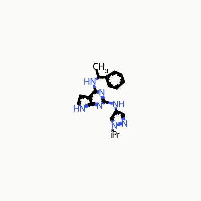 CC(Nc1nc(Nc2cnn(C(C)C)c2)nc2[nH]ccc12)c1ccccc1